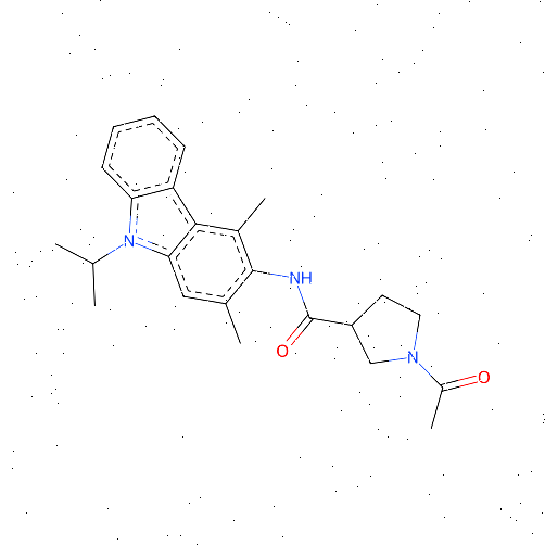 CC(=O)N1CCC(C(=O)Nc2c(C)cc3c(c2C)c2ccccc2n3C(C)C)C1